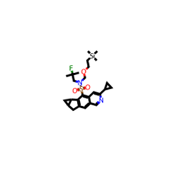 CC(C)(F)CN(COCC[Si](C)(C)C)S(=O)(=O)c1c2c(cc3cnc(C4CC4)cc13)CC1CC21